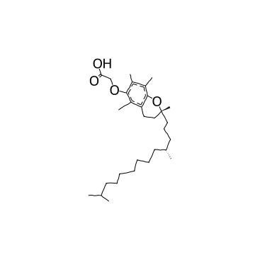 Cc1c(C)c2c(c(C)c1OCC(=O)O)CC[C@@](C)(CCC[C@H](C)CCCCCCCC(C)C)O2